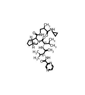 C=C(N[C@H](C(=O)N1C[C@@H]2CCC[C@@H]2C1C(=O)NCC(C)C(=O)NC1CC1)C(C)C)[C@H](NC(=O)c1cnccn1)C(C)C